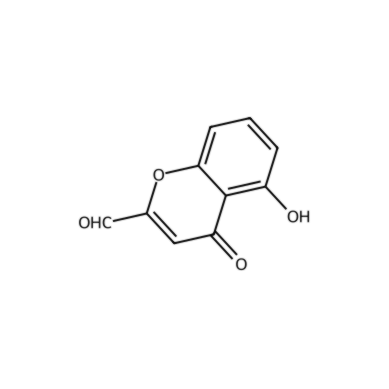 O=Cc1cc(=O)c2c(O)cccc2o1